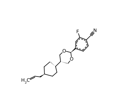 C=CC[C@H]1CC[C@H]([C@H]2CO[C@H](c3ccc(C#N)c(F)c3)OC2)CC1